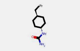 CC(C)C[C@H]1CC[C@H](NC(N)=O)CC1